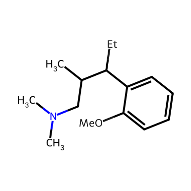 CCC(c1ccccc1OC)C(C)CN(C)C